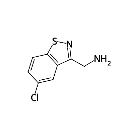 NCc1nsc2ccc(Cl)cc12